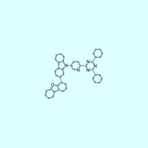 c1ccc(-c2nc(-c3ccccc3)nc(-c3ccc(-n4c5ccccc5c5ccc(-c6cccc7c6oc6ccccc67)cc54)cn3)n2)cc1